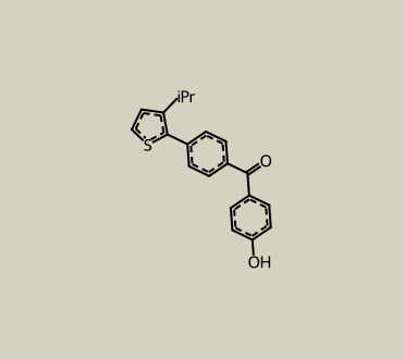 CC(C)c1ccsc1-c1ccc(C(=O)c2ccc(O)cc2)cc1